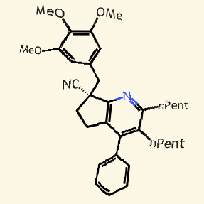 CCCCCc1nc2c(c(-c3ccccc3)c1CCCCC)CC[C@@]2(C#N)Cc1cc(OC)c(OC)c(OC)c1